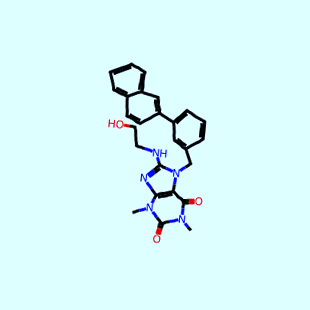 Cn1c(=O)c2c(nc(NCCO)n2Cc2cccc(-c3ccc4ccccc4c3)c2)n(C)c1=O